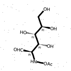 CC(=O)ON[C@@H](C=O)[C@@H](O)[C@H](O)[C@H](O)CO